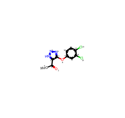 COC(=O)c1[nH]nnc1Oc1ccc(Cl)c(Cl)c1